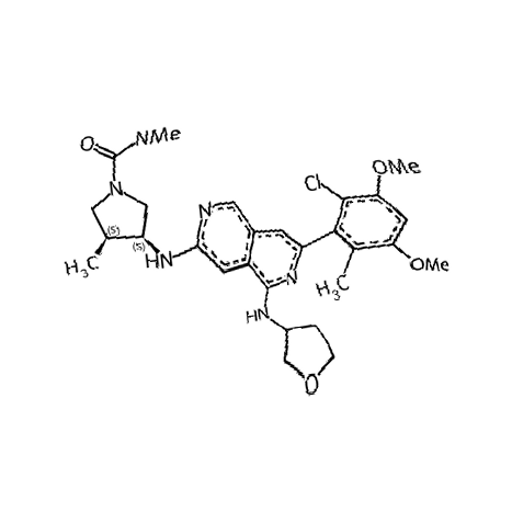 CNC(=O)N1C[C@H](C)[C@H](Nc2cc3c(NC4CCOC4)nc(-c4c(C)c(OC)cc(OC)c4Cl)cc3cn2)C1